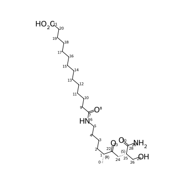 C[C@H](CCCCNC(=O)CCCCCCCCCCCCC(=O)O)C(=O)C[C@@H](CO)C(N)=O